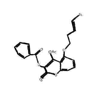 CCC=CCCOc1cccc2oc(=O)c(OC(=O)c3ccccc3)c(OC(C)=O)c12